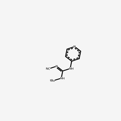 CC(C)(C)NC(=NC#N)Nc1ccncc1